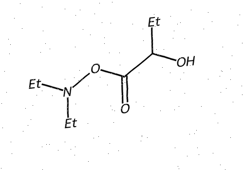 CCC(O)C(=O)ON(CC)CC